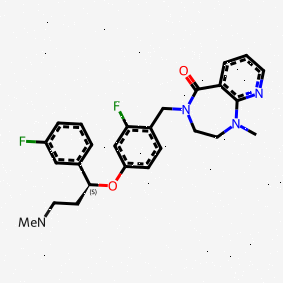 CNCC[C@H](Oc1ccc(CN2CCN(C)c3ncccc3C2=O)c(F)c1)c1cccc(F)c1